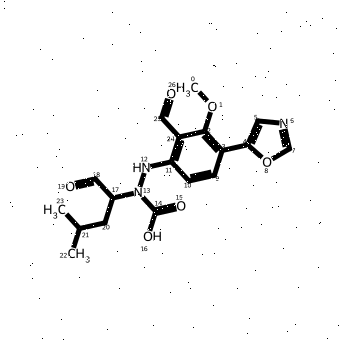 COc1c(-c2cnco2)ccc(NN(C(=O)O)C(C=O)CC(C)C)c1C=O